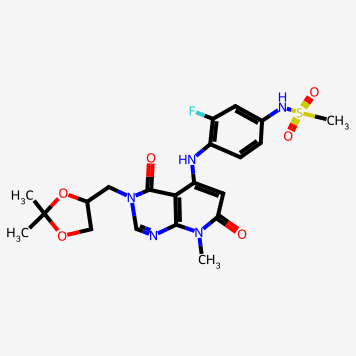 Cn1c(=O)cc(Nc2ccc(NS(C)(=O)=O)cc2F)c2c(=O)n(CC3COC(C)(C)O3)cnc21